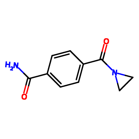 NC(=O)c1ccc(C(=O)N2CC2)cc1